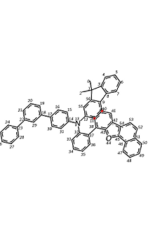 CC1(C)c2ccccc2-c2ccc(N(c3ccc(-c4cccc(-c5ccccc5)c4)cc3)c3ccccc3-c3cccc4c3oc3c5ccccc5ccc43)cc21